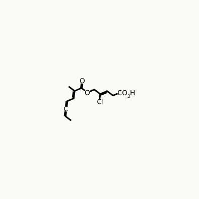 CC=C=CC=C(C)C(=O)OCC(Cl)=CCC(=O)O